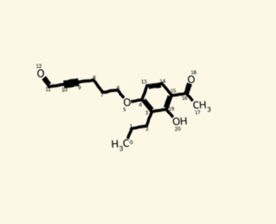 CCCc1c(OCCCC#CC=O)ccc(C(C)=O)c1O